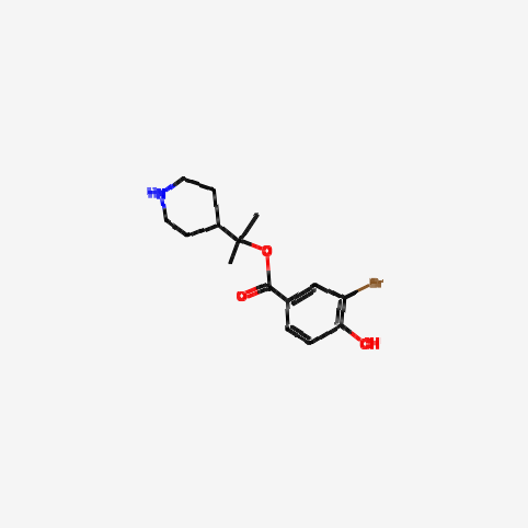 CC(C)(OC(=O)c1ccc(O)c(Br)c1)C1CCNCC1